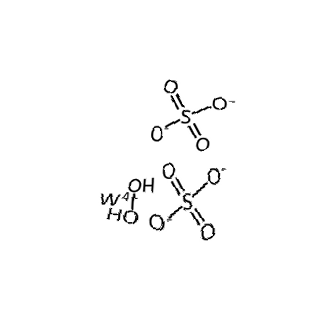 O=S(=O)([O-])[O-].O=S(=O)([O-])[O-].OO.[W+4]